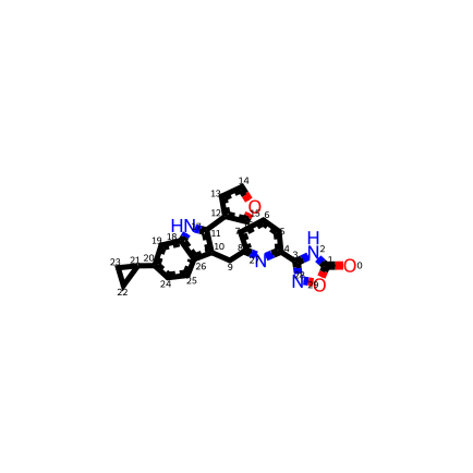 O=c1[nH]c(-c2cccc(Cc3c(-c4ccoc4)[nH]c4cc(C5CC5)ccc34)n2)no1